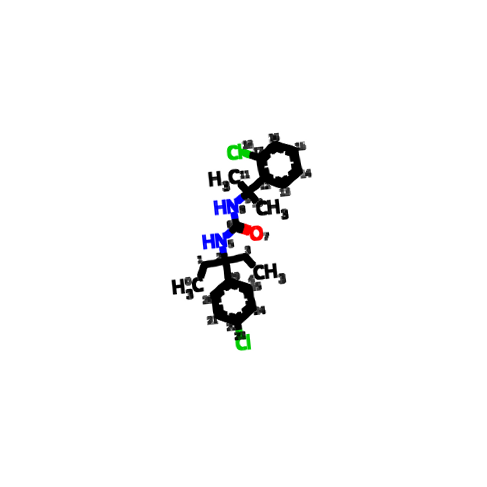 CCC(CC)(NC(=O)NC(C)(C)c1ccccc1Cl)c1ccc(Cl)cc1